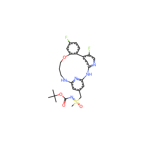 CC(C)(C)OC(=O)N=S(C)(=O)Cc1cc2nc(c1)Nc1cc(c(F)cn1)-c1ccc(F)cc1OCCCN2